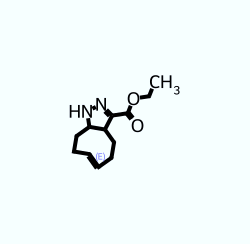 CCOC(=O)C1=NNC2CC/C=C/CCC12